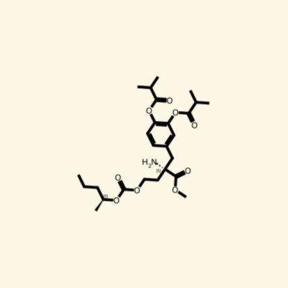 CCC[C@H](C)OC(=O)OCC[C@@](N)(Cc1ccc(OC(=O)C(C)C)c(OC(=O)C(C)C)c1)C(=O)OC